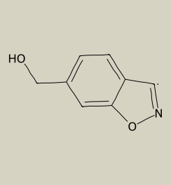 OCc1ccc2[c]noc2c1